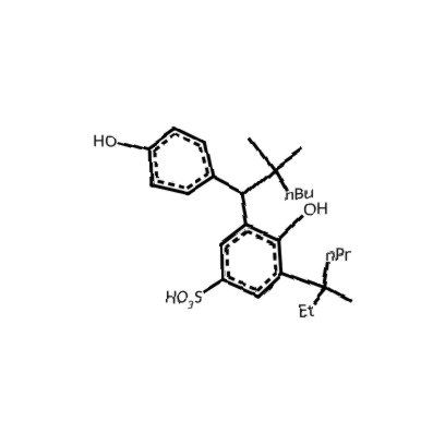 CCCCC(C)(C)C(c1ccc(O)cc1)c1cc(S(=O)(=O)O)cc(C(C)(CC)CCC)c1O